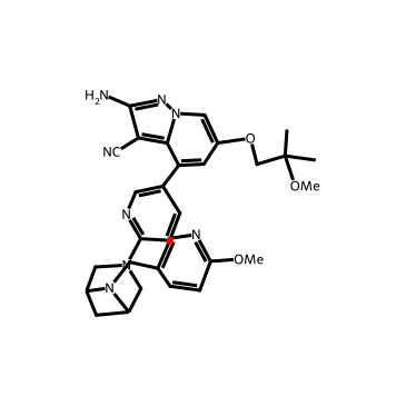 COc1ccc(CN2C3CC2CN(c2ccc(-c4cc(OCC(C)(C)OC)cn5nc(N)c(C#N)c45)cn2)C3)cn1